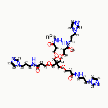 CCCNC(=O)CCOCC(COCCC(=O)NCCCn1ccnc1)(COCCC(=O)NCCCn1ccnc1)COCCC(=O)NCCCn1ccnc1